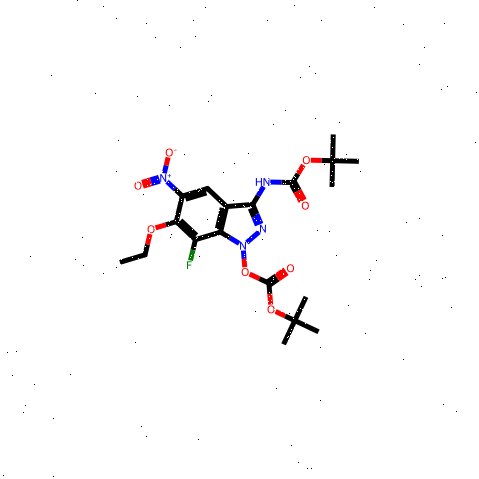 CCOc1c([N+](=O)[O-])cc2c(NC(=O)OC(C)(C)C)nn(OC(=O)OC(C)(C)C)c2c1F